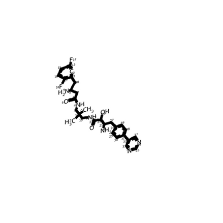 CC(C)(CNC(=O)CC(N)Cc1cc(F)ccc1F)CNC(=O)C(O)C(N)Cc1ccc(-c2cncnc2)cc1